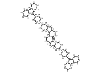 c1ccc2c(c1)c1ccccc1n2-c1ccc(-c2ccc3c(c2)sc2ccc4c(ccc5sc6cc(-c7ccc(-n8c9ccccc9c9ccccc98)cc7)ccc6c54)c23)cc1